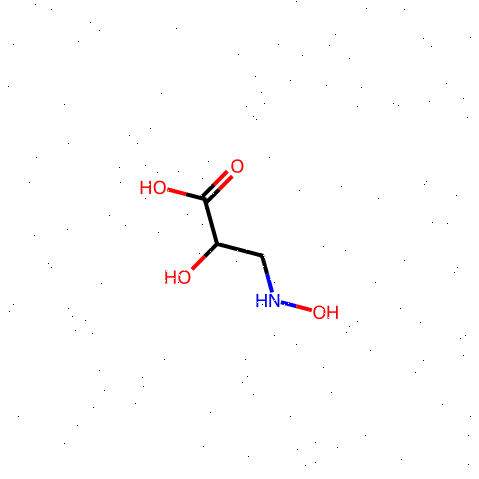 O=C(O)C(O)CNO